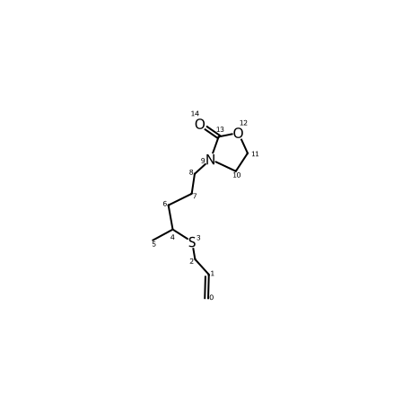 C=CCSC(C)CCCN1CCOC1=O